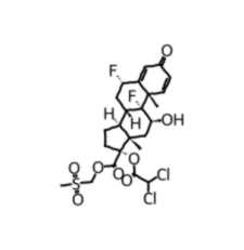 C[C@]12C=CC(=O)C=C1[C@@H](F)C[C@H]1[C@@H]3CC[C@](OC(=O)C(Cl)Cl)(C(=O)OCS(C)(=O)=O)[C@@]3(C)C[C@H](O)[C@@]12F